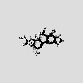 COP1(=O)O[C@@H]2[C@H](O1)[C@@H](O)C=C1c3cc4c(c(O)c3C(=O)N[C@H]12)OCO4